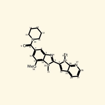 CCn1c(-c2nc3cc(C(=O)N4CCCCC4)cc(OC)c3n2C)cc2cccnc21